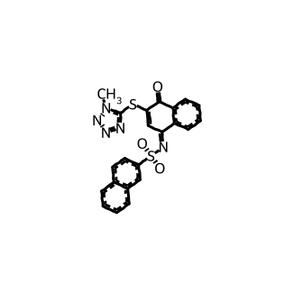 Cn1nnnc1SC1=CC(=NS(=O)(=O)c2ccc3ccccc3c2)c2ccccc2C1=O